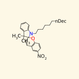 CCCCCCCCCCCCCCCCN1c2ccccc2C(C)(C)C12C=Cc1cc([N+](=O)[O-])ccc1O2